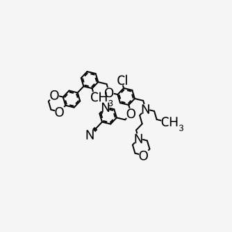 CCCN(CCCN1CCOCC1)Cc1cc(Cl)c(OCc2cccc(-c3ccc4c(c3)OCCO4)c2C)cc1OCc1cncc(C#N)c1